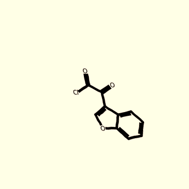 O=C(Cl)C(=O)c1coc2ccccc12